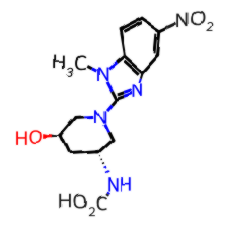 Cn1c(N2C[C@H](O)C[C@@H](NC(=O)O)C2)nc2cc([N+](=O)[O-])ccc21